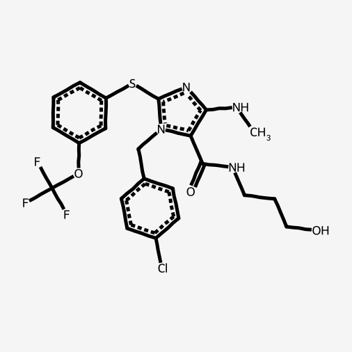 CNc1nc(Sc2cccc(OC(F)(F)F)c2)n(Cc2ccc(Cl)cc2)c1C(=O)NCCCO